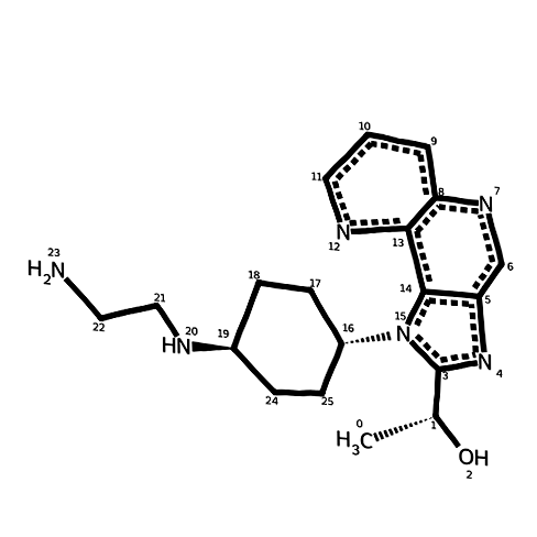 C[C@@H](O)c1nc2cnc3cccnc3c2n1[C@H]1CC[C@H](NCCN)CC1